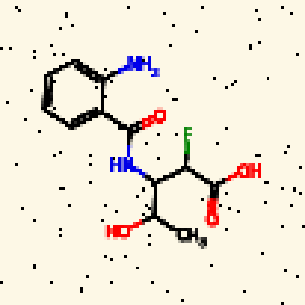 CC(O)C(NC(=O)c1ccccc1N)C(F)C(=O)O